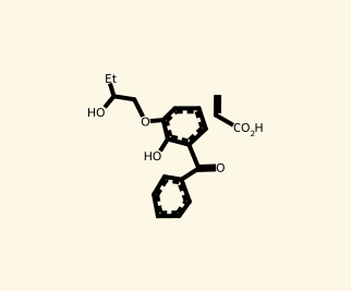 C=CC(=O)O.CCC(O)COc1cccc(C(=O)c2ccccc2)c1O